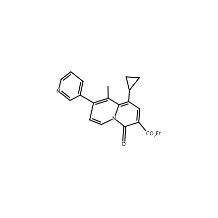 CCOC(=O)c1cc(C2CC2)c2c(C)c(-c3cccnc3)ccn2c1=O